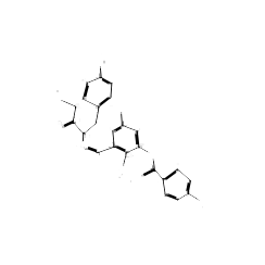 Cc1ccc(C(=O)Oc2cc(Cl)cc(/C=N\C(Cc3ccc(O)cc3)C(=O)CO)c2O)cc1